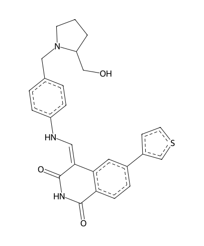 O=C1NC(=O)c2ccc(-c3ccsc3)cc2/C1=C/Nc1ccc(CN2CCCC2CO)cc1